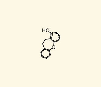 O[n+]1cccc2c1CCc1ccccc1O2